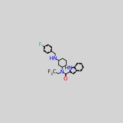 O=C(c1cc2ccccc2[nH]1)N(CC(F)(F)F)C1CCCC(NCc2ccc(F)cc2)C1